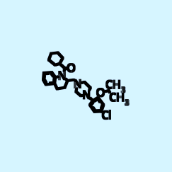 CC(C)Oc1cc(Cl)ccc1N1CCN(CC2CCc3ccccc3N2C(=O)C2CCCCC2)CC1